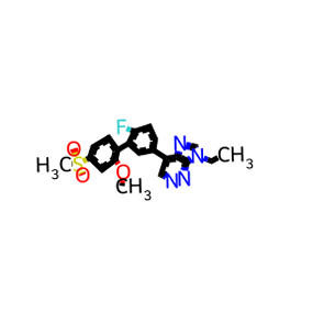 CCn1cnc2c(-c3ccc(F)c(-c4ccc(S(C)(=O)=O)cc4OC)c3)cnnc21